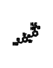 CC(=O)Nc1cccc(COc2c(Br)cc(CC(=O)O)cc2Br)c1